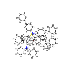 c1ccc(-c2ccc(N(c3ccc4c(c3)-c3ccccc3-c3ccccc3N4c3ccccc3)c3ccc4c(c3)C3(c5ccccc5-c5ccccc5-4)c4ccccc4-c4cc5c(cc43)sc3ccccc35)cc2)cc1